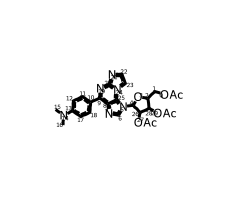 CC(=O)OCC1OC(n2cnc3c(-c4ccc(N(C)C)cc4)nc4nccn4c32)C(OC(C)=O)C1OC(C)=O